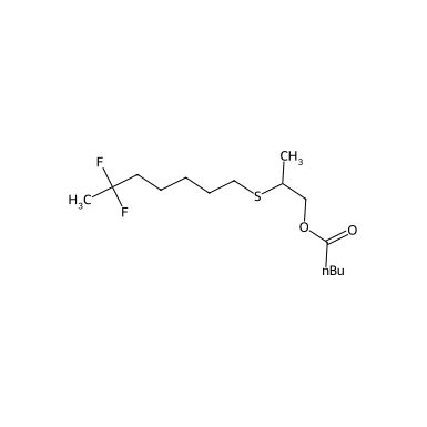 CCCCC(=O)OCC(C)SCCCCCC(C)(F)F